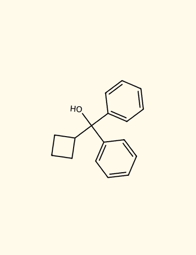 OC(c1ccccc1)(c1ccccc1)C1CCC1